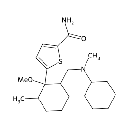 COC1(c2ccc(C(N)=O)s2)C(C)CCCC1CN(C)C1CCCCC1